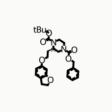 CC(C)(C)OC(=O)N1CCN(C(=O)OCc2ccccc2)C[C@H]1CCOc1ccc2c(c1)OCC2